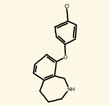 Clc1ccc(Oc2cccc3c2CNCCC3)cc1